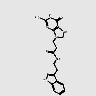 Nc1nc2c(c(=O)[nH]1)NCN2CCC(=O)NCCc1c[nH]c2ccccc12